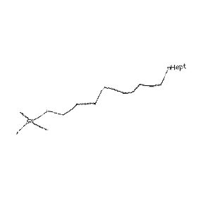 CCCCCCCCCCCCCC[CH][Si](C)(C)C